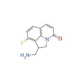 NCC1Cn2c(=O)ccc3ccc(F)c1c32